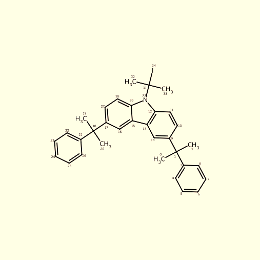 CC(C)(c1ccccc1)c1ccc2c(c1)c1cc(C(C)(C)c3ccccc3)ccc1n2C(C)(C)I